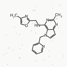 Cc1coc(CNc2nc(C)nc3ccn(Cc4ccccn4)c23)n1